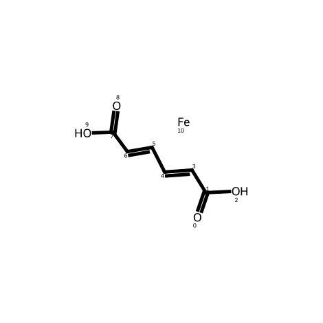 O=C(O)C=CC=CC(=O)O.[Fe]